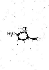 C#Cc1ccc(C)cc1.Cl